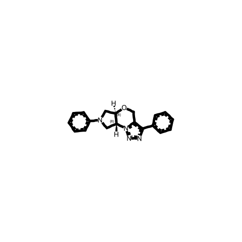 c1ccc(-c2nnn3c2CO[C@@H]2CN(c4ccccc4)C[C@H]23)cc1